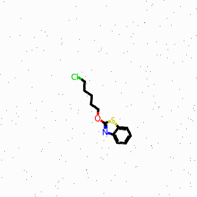 ClCCCCCOc1nc2ccccc2s1